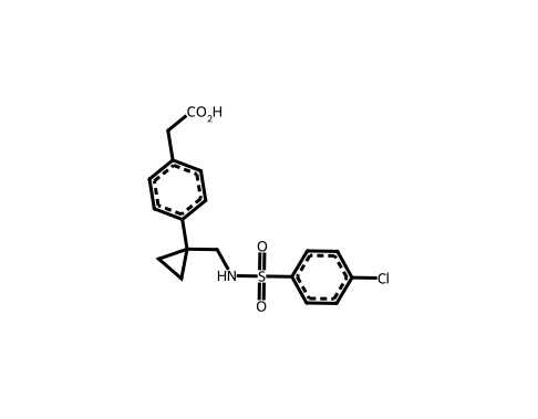 O=C(O)Cc1ccc(C2(CNS(=O)(=O)c3ccc(Cl)cc3)CC2)cc1